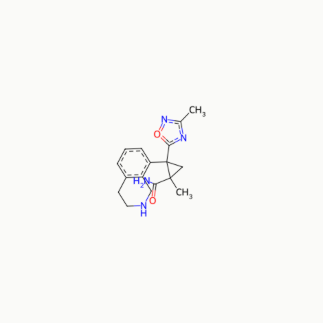 Cc1noc(C2(c3cccc4c3CNCC4)CC2(C)C(N)=O)n1